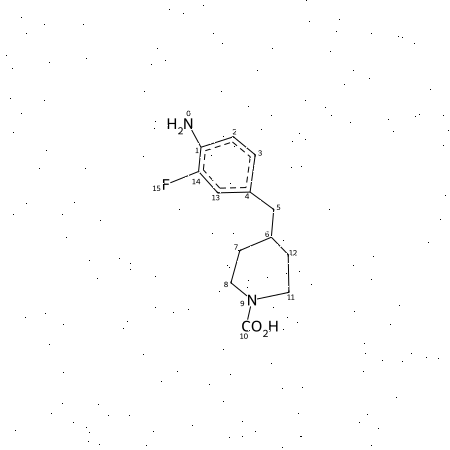 Nc1ccc(CC2CCN(C(=O)O)CC2)cc1F